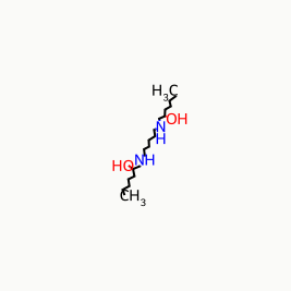 CCCCCC(O)CNCCCCCCNCC(O)CCCCC